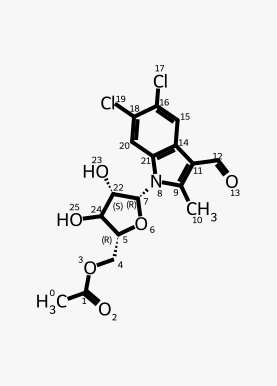 CC(=O)OC[C@H]1O[C@@H](n2c(C)c(C=O)c3cc(Cl)c(Cl)cc32)[C@@H](O)C1O